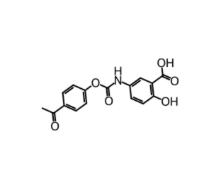 CC(=O)c1ccc(OC(=O)Nc2ccc(O)c(C(=O)O)c2)cc1